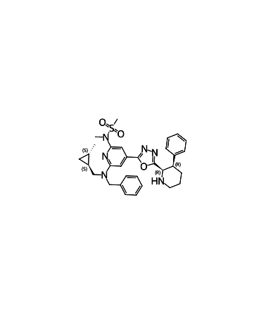 C[C@H]1C[C@@H]1CN(Cc1ccccc1)c1cc(-c2nnc([C@@H]3NCCC[C@@H]3c3ccccc3)o2)cc(N(C)S(C)(=O)=O)n1